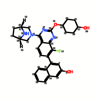 Oc1cc(-c2ccc3c(N4C[C@H]5CC[C@@H](C4)N5)nc(OC4CCC(O)CC4)nc3c2F)c2ccccc2c1